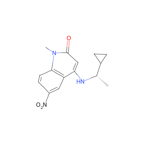 C[C@H](Nc1cc(=O)n(C)c2ccc([N+](=O)[O-])cc12)C1CC1